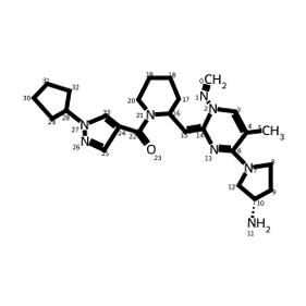 C=NN1C=C(C)C(N2CC[C@H](N)C2)=N/C1=C/C1CCCCN1C(=O)c1cnn(C2CCCC2)c1